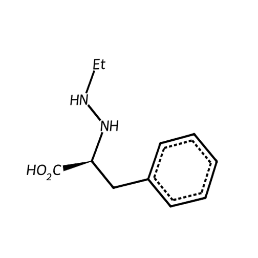 CCNN[C@@H](Cc1ccccc1)C(=O)O